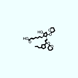 CCCC1CCC([C@@H](/C=C/[C@@H]2[C@@H](CCCC/C=C/C(=O)O)[C@@H](O)C[C@H]2OC2CCCCO2)OC2CCCCO2)C1